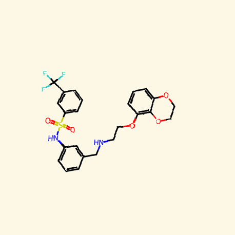 O=S(=O)(Nc1cccc(CNCCOc2cccc3c2OCCO3)c1)c1cccc(C(F)(F)F)c1